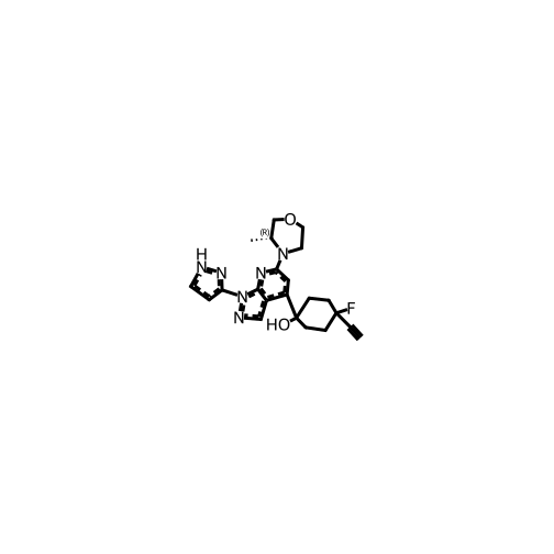 C#CC1(F)CCC(O)(c2cc(N3CCOC[C@H]3C)nc3c2cnn3-c2cc[nH]n2)CC1